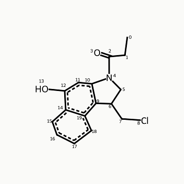 CCC(=O)N1CC(CCl)c2c1cc(O)c1ccccc21